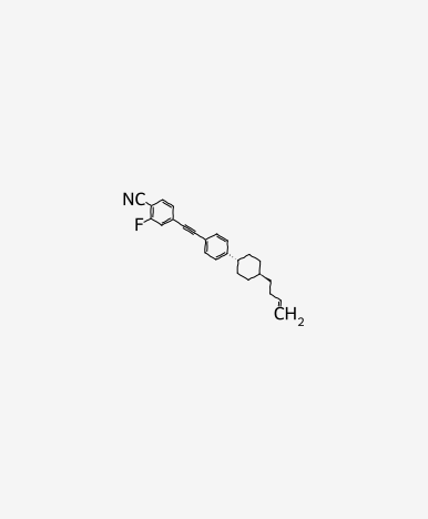 C=CCC[C@H]1CC[C@H](c2ccc(C#Cc3ccc(C#N)c(F)c3)cc2)CC1